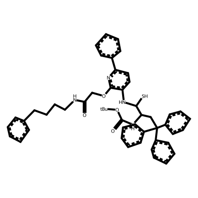 CC(C)(C)OC(=O)NC(CC(c1ccccc1)(c1ccccc1)c1ccccc1)C(S)Nc1ccc(-c2ccccc2)nc1OCC(=O)NCCCCc1ccccc1